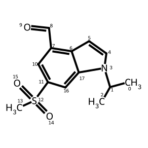 CC(C)n1ccc2c(C=O)cc(S(C)(=O)=O)cc21